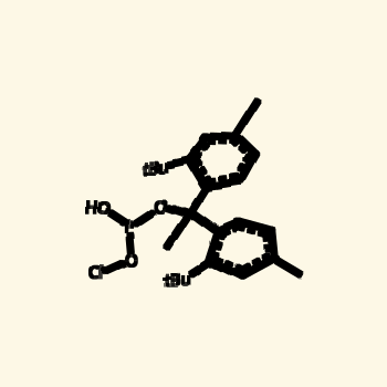 Cc1ccc(C(C)(OP(O)OCl)c2ccc(C)cc2C(C)(C)C)c(C(C)(C)C)c1